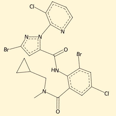 CN(CC1CC1)C(=O)c1cc(Cl)cc(Br)c1NC(=O)c1cc(Br)nn1-c1ncccc1Cl